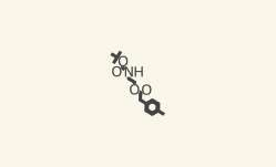 Cc1ccc(CC(=O)OCCNC(=O)OC(C)(C)C)cc1